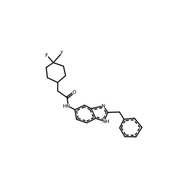 O=C(CC1CCC(F)(F)CC1)Nc1ccc2[nH]c(Cc3ccccc3)nc2c1